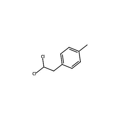 Cc1ccc(CC(Cl)Cl)cc1